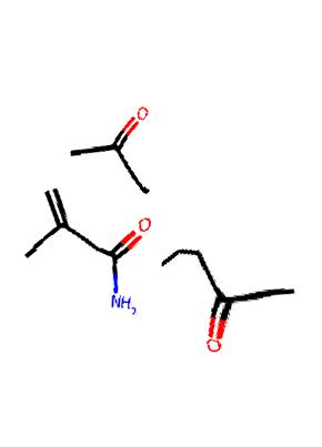 C=C(C)C(N)=O.CC(C)=O.CCC(C)=O